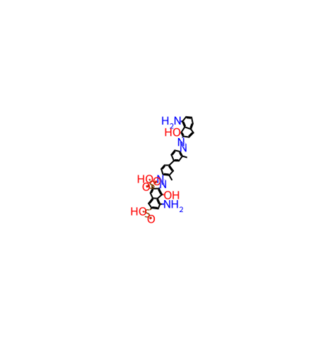 Cc1cc(-c2ccc(/N=N/c3c(S(=O)(=O)O)cc4cc(S(=O)O)cc(N)c4c3O)c(C)c2)ccc1/N=N/c1ccc2cccc(N)c2c1O